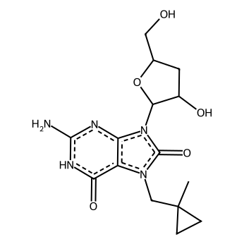 CC1(Cn2c(=O)n(C3OC(CO)CC3O)c3nc(N)[nH]c(=O)c32)CC1